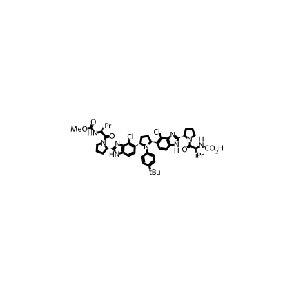 COC(=O)N[C@H](C(=O)N1CCC[C@H]1c1nc2c(Cl)c([C@@H]3CC[C@H](c4ccc5[nH]c([C@@H]6CCCN6C(=O)[C@@H](NC(=O)O)C(C)C)nc5c4Cl)N3c3ccc(C(C)(C)C)cc3)ccc2[nH]1)C(C)C